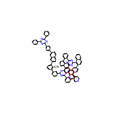 N#Cc1c(-c2cccc(-c3nc(-c4ccccc4)nc(-c4c(-c5ccc(-c6ccncc6)cc5)ccc5c(-c6ccccc6-c6nc(-c7ccccc7)nc(-c7c(-c8ccc(-c9cccnc9)cc8)ccc8ccccc78)n6)cccc45)n3)c2)cccc1-c1ccc2ccc(-c3ccc(-c4nc(-c5ccccc5)nc(-c5ccccc5)n4)cc3)cc2c1